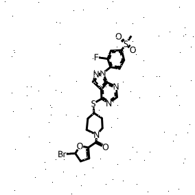 CS(=O)(=O)c1ccc(-n2ncc3c(SC4CCN(C(=O)C5=CCC(Br)O5)CC4)ncnc32)c(F)c1